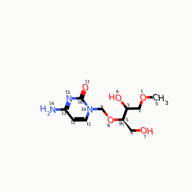 COCC(O)[C@@H](CO)OCn1ccc(N)nc1=O